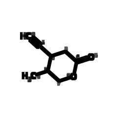 C#CC1CC(=O)OCC1C